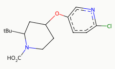 CC(C)(C)C1CC(Oc2ccc(Cl)nc2)CCN1C(=O)O